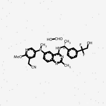 COc1ncc(N(C)c2ccc3nc(C)nc(N[C@H](C)c4cccc(C(F)(F)CO)c4)c3c2)cc1CC#N.O=CO